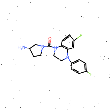 N[C@H]1CCN(C(=O)N2CCN(c3ccc(F)cc3)c3cc(F)ccc32)C1